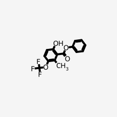 Cc1c(OC(F)(F)F)ccc(O)c1C(=O)Oc1ccccc1